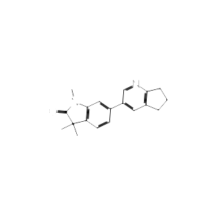 CN1C(=O)C(C)(C)c2ccc(-c3cnc4c(c3)CCC4)cc21